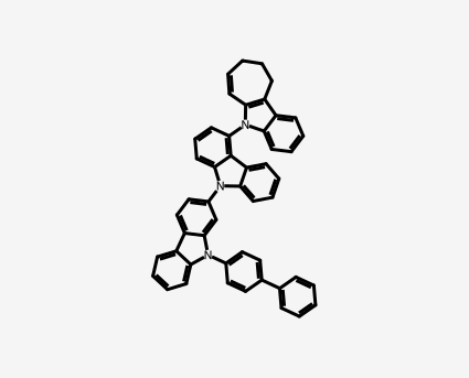 C1=Cc2c(c3ccccc3n2-c2cccc3c2c2ccccc2n3-c2ccc3c4ccccc4n(-c4ccc(-c5ccccc5)cc4)c3c2)CCC1